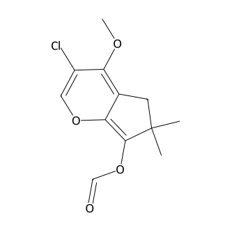 COC1=C2CC(C)(C)C(OC=O)=C2OC=C1Cl